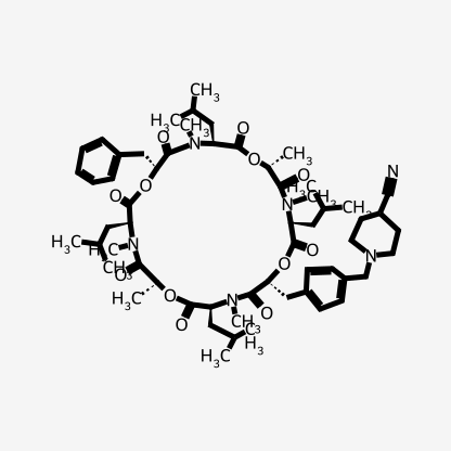 CC(C)C[C@H]1C(=O)O[C@H](Cc2ccc(CN3CCC(C#N)CC3)cc2)C(=O)N(C)[C@@H](CC(C)C)C(=O)O[C@H](C)C(=O)N(C)[C@@H](CC(C)C)C(=O)O[C@H](Cc2ccccc2)C(=O)N(C)[C@@H](CC(C)C)C(=O)O[C@H](C)C(=O)N1C